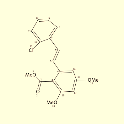 COC(=O)c1c(C=Cc2ccccc2Cl)cc(OC)cc1OC